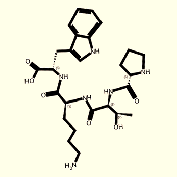 C[C@@H](O)[C@H](NC(=O)[C@@H]1CCCN1)C(=O)N[C@@H](CCCCN)C(=O)N[C@@H](Cc1c[nH]c2ccccc12)C(=O)O